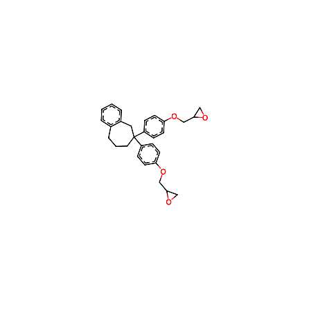 c1ccc2c(c1)CCCC(c1ccc(OCC3CO3)cc1)(c1ccc(OCC3CO3)cc1)C2